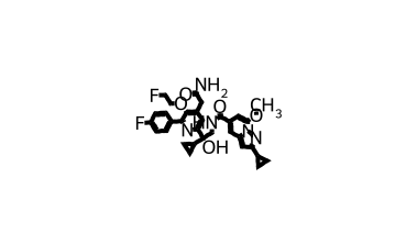 COc1cc(C(=O)NC[C@](O)(c2cc(CC(N)=O)c(OCCF)c(-c3ccc(F)cc3)n2)C2CC2)cc2cc(C3CC3)nn12